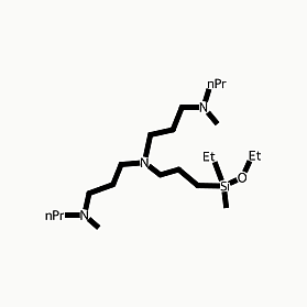 CCCN(C)CCCN(CCCN(C)CCC)CCC[Si](C)(CC)OCC